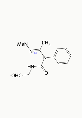 CN/N=C(\C)N(C(=O)NC[C]=O)c1ccccc1